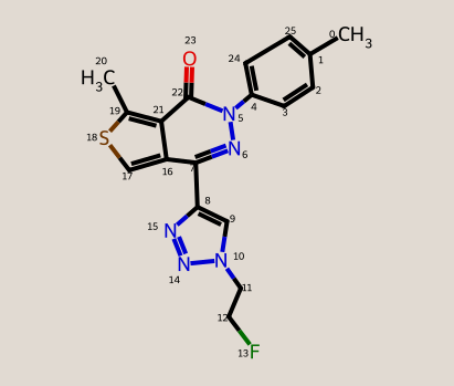 Cc1ccc(-n2nc(-c3cn(CCF)nn3)c3csc(C)c3c2=O)cc1